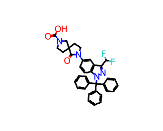 O=C(O)N1CCC2(CCN(c3ccc4c(c3)c(C(F)F)nn4C(c3ccccc3)(c3ccccc3)c3ccccc3)C2=O)C1